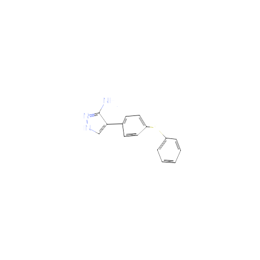 Nc1n[nH]cc1-c1ccc(Sc2ccccc2)cc1